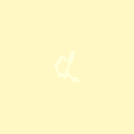 C=CC(=O)O.COC#N